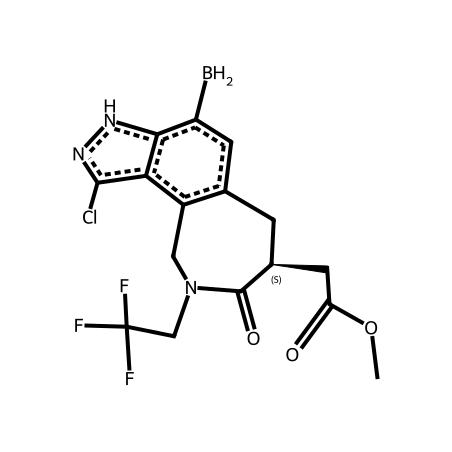 Bc1cc2c(c3c(Cl)n[nH]c13)CN(CC(F)(F)F)C(=O)[C@H](CC(=O)OC)C2